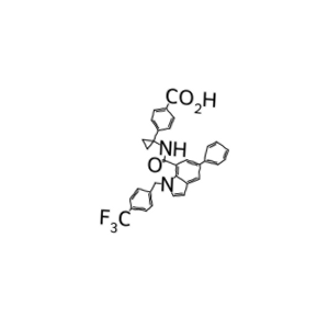 O=C(O)c1ccc(C2(NC(=O)c3cc(-c4ccccc4)cc4ccn(Cc5ccc(C(F)(F)F)cc5)c34)CC2)cc1